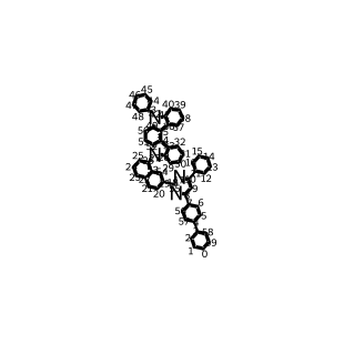 c1ccc(-c2ccc(-c3cc(-c4ccccc4)nc(-c4ccc5cccc(-n6c7ccccc7c7c8c9ccccc9n(-c9ccccc9)c8ccc76)c5c4)n3)cc2)cc1